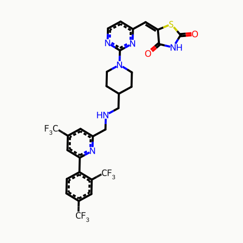 O=C1NC(=O)/C(=C\c2ccnc(N3CCC(CNCc4cc(C(F)(F)F)cc(-c5ccc(C(F)(F)F)cc5C(F)(F)F)n4)CC3)n2)S1